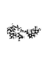 CC(C)C[C@H](NC(=O)[C@@H](NC(=O)[C@H](C)NC(=O)CCOCCOCCNc1cccc2c1C(=O)N(C1CCC(=O)NC1=O)C2=O)C(C)C)C(=O)N[C@H](N)C[C@@H]1CCNC1=O